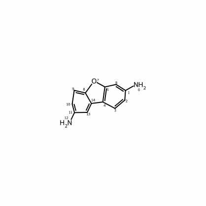 Nc1ccc2c(c1)oc1ccc(N)cc12